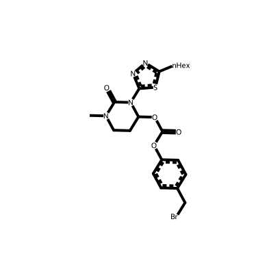 CCCCCCc1nnc(N2C(=O)N(C)CCC2OC(=O)Oc2ccc(CBr)cc2)s1